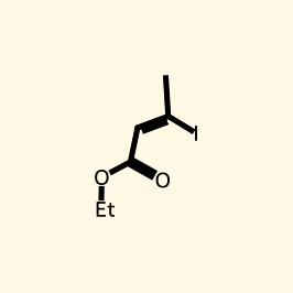 CCOC(=O)C=C(C)I